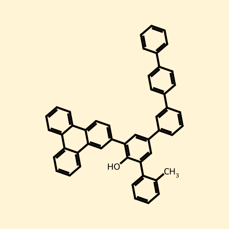 Cc1ccccc1-c1cc(-c2cccc(-c3ccc(-c4ccccc4)cc3)c2)cc(-c2ccc3c4ccccc4c4ccccc4c3c2)c1O